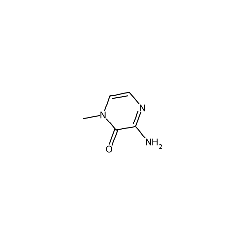 Cn1ccnc(N)c1=O